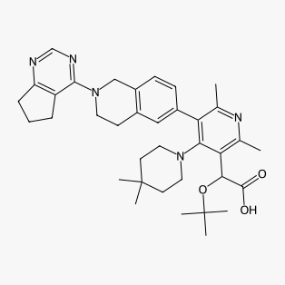 Cc1nc(C)c(C(OC(C)(C)C)C(=O)O)c(N2CCC(C)(C)CC2)c1-c1ccc2c(c1)CCN(c1ncnc3c1CCC3)C2